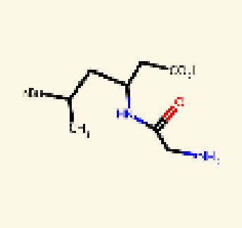 CCCCC(C)CC(CC(=O)O)NC(=O)CN